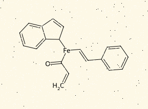 C=C[C](=O)[Fe]([CH]=Cc1ccccc1)[CH]1C=Cc2ccccc21